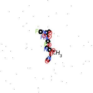 COc1cc2c(Oc3ccc(NC(=O)c4c5c(cn(-c6ccc(F)cc6)c4=O)CCO5)cc3F)ccnc2cc1OCCN1CCOCC1